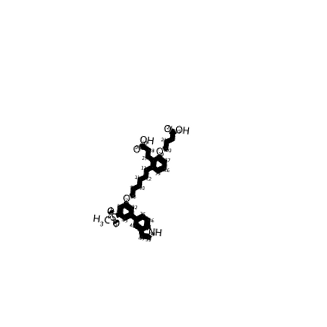 CS(=O)(=O)c1cc(OCCCCCCc2cccc(OCCCC(=O)O)c2CCC(=O)O)cc(-c2ccc3[nH]ccc3c2)c1